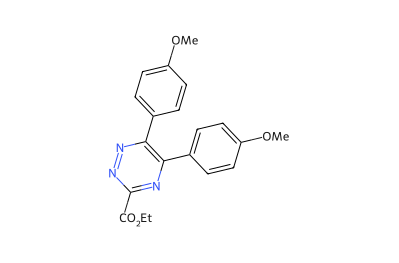 CCOC(=O)c1nnc(-c2ccc(OC)cc2)c(-c2ccc(OC)cc2)n1